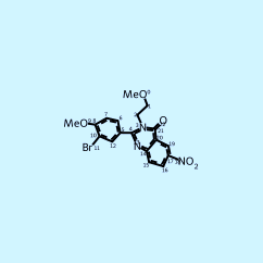 COCCn1c(-c2ccc(OC)c(Br)c2)nc2ccc([N+](=O)[O-])cc2c1=O